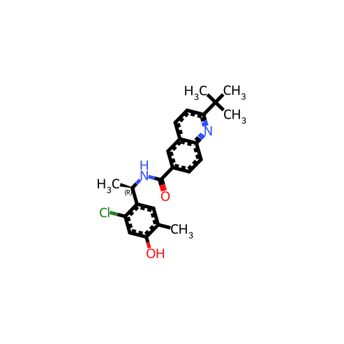 Cc1cc([C@@H](C)NC(=O)c2ccc3nc(C(C)(C)C)ccc3c2)c(Cl)cc1O